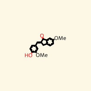 COc1ccc2c(c1)C(=O)/C(=C/c1ccc(O)c(OC)c1)C2